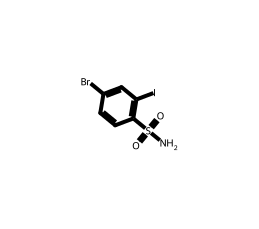 NS(=O)(=O)c1ccc(Br)cc1I